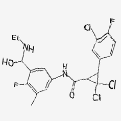 CCNC(O)c1cc(NC(=O)C2C(c3ccc(F)c(Cl)c3)C2(Cl)Cl)cc(C)c1F